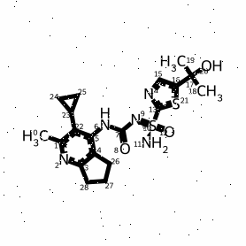 Cc1nc2c(c(NC(=O)N=[S@@](N)(=O)c3ncc(C(C)(C)O)s3)c1C1CC1)CCC2